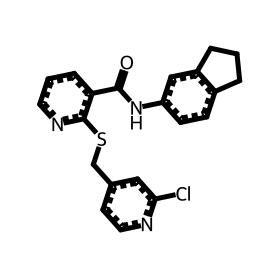 O=C(Nc1ccc2c(c1)CCC2)c1cccnc1SCc1ccnc(Cl)c1